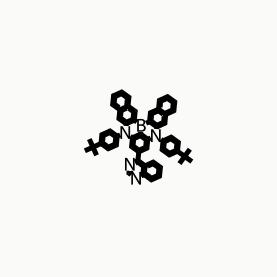 CC(C)(C)c1ccc(N2c3cc4ccccc4cc3B3c4cc5ccccc5cc4N(c4ccc(C(C)(C)C)cc4)c4cc(-c5ncnc6ccccc56)cc2c43)cc1